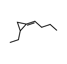 CCCC=C1CC1CC